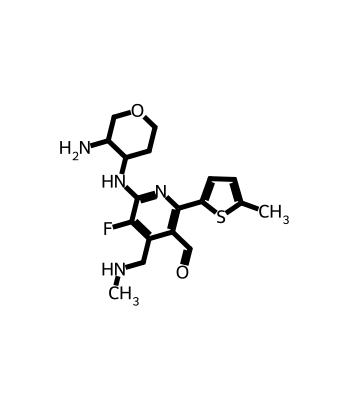 CNCc1c(F)c(NC2CCOCC2N)nc(-c2ccc(C)s2)c1C=O